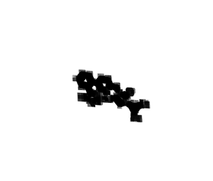 CCCCc1cn(C2C(CC)C2C(C)=O)c(=O)n1Cc1ccc(-c2ccccc2-c2nnn[nH]2)cn1